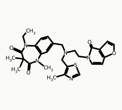 CCN1C(=O)C(C)(C)C(=O)N(C)c2cc(CN(CCn3ccc4occc4c3=O)Cc3scnc3C)ccc21